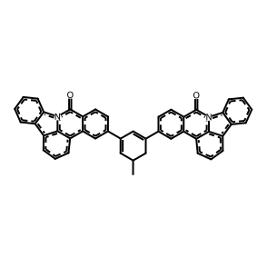 CC1C=C(c2ccc3c(=O)n4c5ccccc5c5cccc(c3c2)c54)C=C(c2ccc3c(=O)n4c5ccccc5c5cccc(c3c2)c54)C1